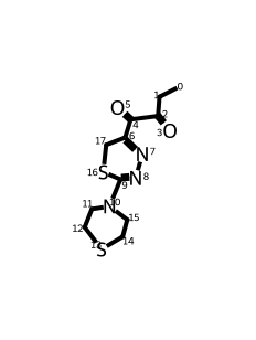 CCC(=O)C(=O)C1=NN=C(N2CCSCC2)SC1